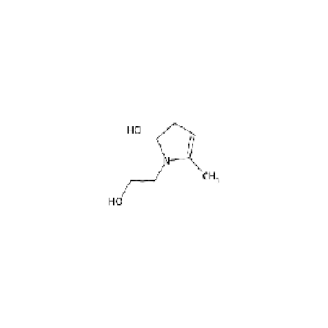 CC1=CCCN1CCO.Cl